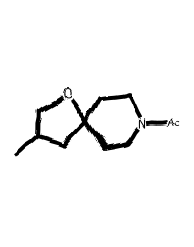 CC(=O)N1CCC2(CC1)CC(C)CO2